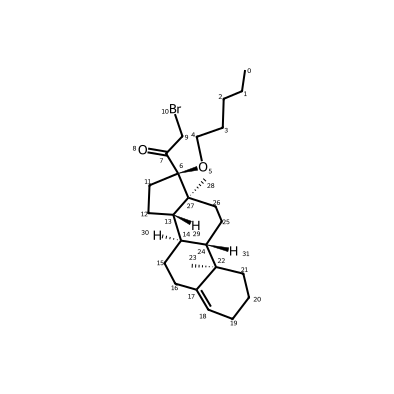 CCCCCO[C@]1(C(=O)CBr)CC[C@H]2[C@@H]3CCC4=CCCC[C@]4(C)[C@H]3CC[C@@]21C